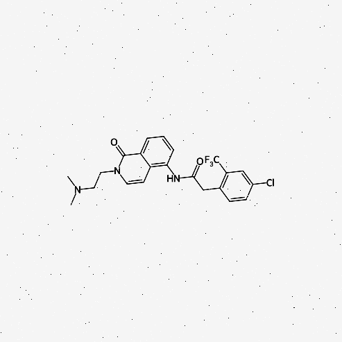 CN(C)CCn1ccc2c(NC(=O)Cc3ccc(Cl)cc3C(F)(F)F)cccc2c1=O